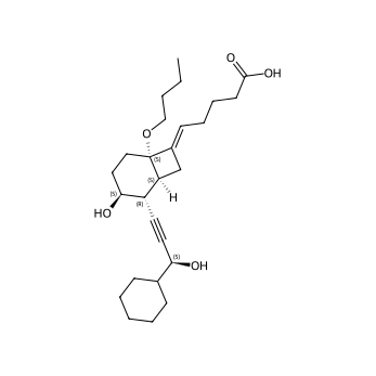 CCCCO[C@@]12CC[C@H](O)[C@@H](C#C[C@@H](O)C3CCCCC3)[C@@H]1CC2=CCCCC(=O)O